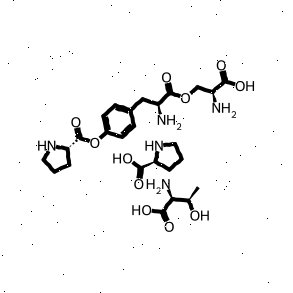 C[C@@H](O)[C@H](N)C(=O)O.N[C@@H](COC(=O)[C@@H](N)Cc1ccc(OC(=O)[C@@H]2CCCN2)cc1)C(=O)O.O=C(O)[C@@H]1CCCN1